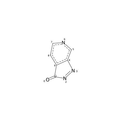 O=C1N=Nc2cnccc21